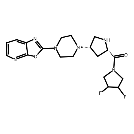 O=C([C@@H]1C[C@H](N2CCN(c3nc4cccnc4o3)CC2)CN1)N1CC(F)C(F)C1